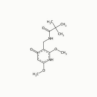 COc1cc(=O)c(CNC(=O)C(C)(C)C)c(OC)[nH]1